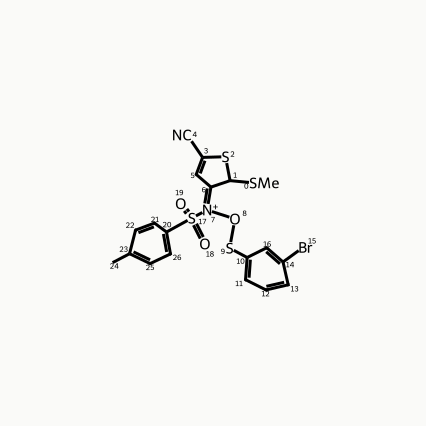 CSC1SC(C#N)=CC1=[N+](OSc1cccc(Br)c1)S(=O)(=O)c1ccc(C)cc1